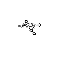 CC(C)(C)OC(=O)CC1(C(=O)N[C@@H](Cc2ccc(-c3ccccc3)cc2)C(=O)N2CCC[C@H]2C(=O)OCc2ccccc2)Cc2ccccc2C1